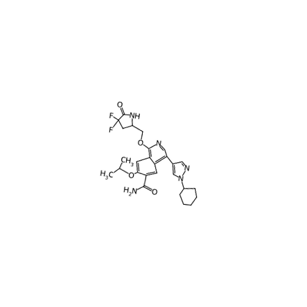 CC(C)Oc1cc2c(OCC3CC(F)(F)C(=O)N3)ncc(-c3cnn(C4CCCCC4)c3)c2cc1C(N)=O